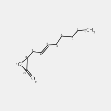 CCCCCC=CCC1OC1=O